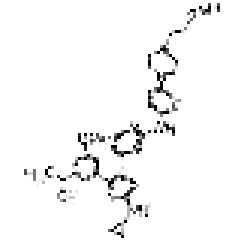 COCCN1CCN(c2ccc(Nc3nccc(-c4sc(NC5CC5)nc4-c4cc(OC)cc(C(C)O)c4)n3)cn2)CC1